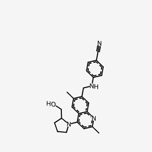 Cc1cc(N2CCCC2CO)c2cc(C)c(CNc3ccc(C#N)cc3)cc2n1